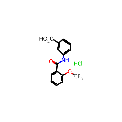 Cl.O=C(O)c1cccc(NC(=O)c2ccccc2OC(F)(F)F)c1